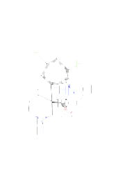 CC(=O)O.O=C1Nc2c(F)cc(F)cc2C12CCCNC2